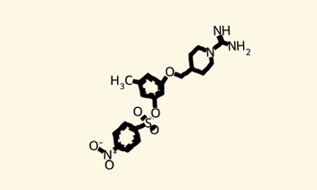 Cc1cc(OCC2CCN(C(=N)N)CC2)cc(OS(=O)(=O)c2ccc([N+](=O)[O-])cc2)c1